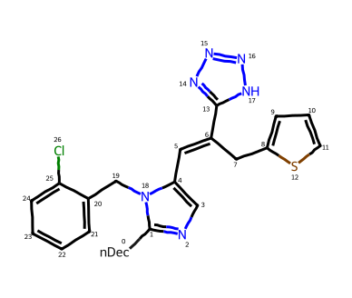 CCCCCCCCCCc1ncc(/C=C(\Cc2cccs2)c2nnn[nH]2)n1Cc1ccccc1Cl